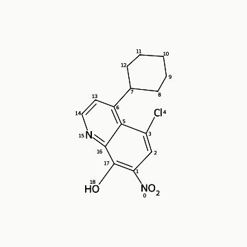 O=[N+]([O-])c1cc(Cl)c2c(C3CCCCC3)ccnc2c1O